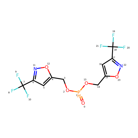 O=[PH](OCc1cc(C(F)(F)F)no1)OCc1cc(C(F)(F)F)no1